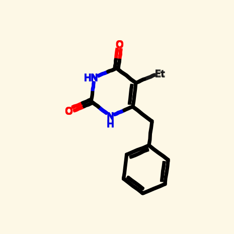 CCc1c(Cc2ccccc2)[nH]c(=O)[nH]c1=O